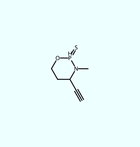 C#CC1CCO[PH](=S)N1C